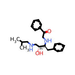 CC(C)CNC[C@@H](O)[C@H](Cc1ccccc1)NCC(=O)c1ccccc1